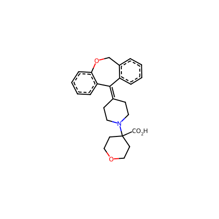 O=C(O)C1(N2CCC(=C3c4ccccc4COc4ccccc43)CC2)CCOCC1